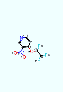 O=[N+]([O-])c1cnccc1OC(F)C(F)F